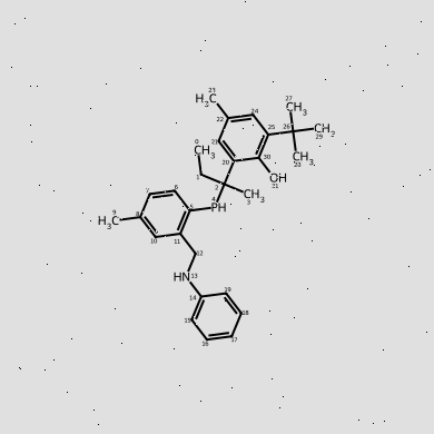 CCC(C)(Pc1ccc(C)cc1CNc1ccccc1)c1cc(C)cc(C(C)(C)C)c1O